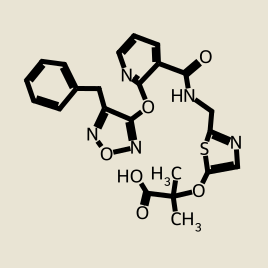 CC(C)(Oc1cnc(CNC(=O)c2cccnc2Oc2nonc2Cc2ccccc2)s1)C(=O)O